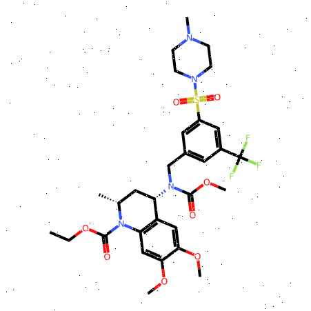 CCOC(=O)N1c2cc(OC)c(OC)cc2[C@@H](N(Cc2cc(C(F)(F)F)cc(S(=O)(=O)N3CCN(C)CC3)c2)C(=O)OC)C[C@H]1C